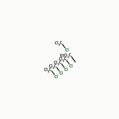 CCOC(C)=O.ClC(Cl)(Cl)Cl.ClC(Cl)(Cl)Cl.ClC(Cl)(Cl)Cl.ClC(Cl)(Cl)Cl.ClC(Cl)(Cl)Cl